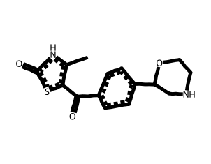 Cc1[nH]c(=O)sc1C(=O)c1ccc(C2CNCCO2)cc1